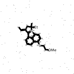 C/C=C1\CC(C)(CC)[N+]2=C1c1cccc3c(SCCOC)ccc2c13